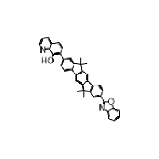 CC1(C)c2cc(-c3nc4ccccc4o3)ccc2-c2cc3c(cc21)-c1ccc(-c2ccc4cccnc4c2O)cc1C3(C)C